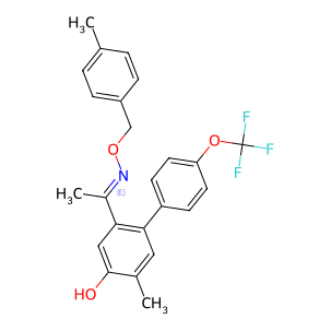 C/C(=N\OCc1ccc(C)cc1)c1cc(O)c(C)cc1-c1ccc(OC(F)(F)F)cc1